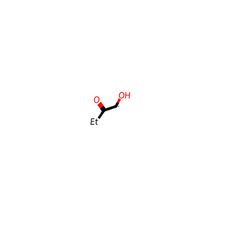 CCC(=O)[CH]O